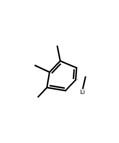 Cc1c[c]cc(C)c1C.[Li][CH3]